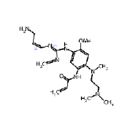 C=CC(=O)Nc1cc(N/C(N=C)=N/C=C\CN)c(OC)cc1N(C)CCN(C)C